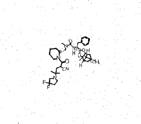 CN(C[C@H]1CCCCN1C(=O)C(C#N)CC(C)(C)N1CCC(F)(F)C1)C(=O)N[C@@H](Cc1ccccc1)B1O[C@@H]2C[C@@H]3C[C@@H](C3(C)C)[C@]2(C)O1